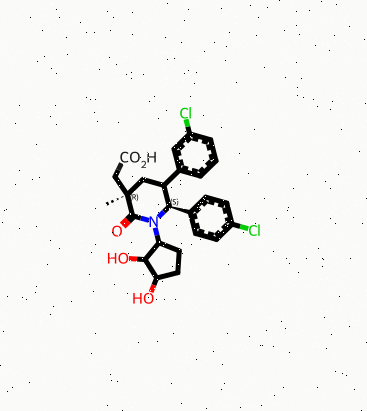 C[C@]1(CC(=O)O)CC(c2cccc(Cl)c2)[C@@H](c2ccc(Cl)cc2)N(C2CCC(O)C2O)C1=O